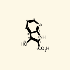 O=C(O)c1[nH]c2ncccc2c1O